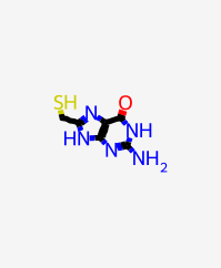 Nc1nc2[nH]c(CS)nc2c(=O)[nH]1